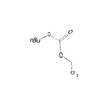 CCCCOC(=O)OCC(F)(F)F